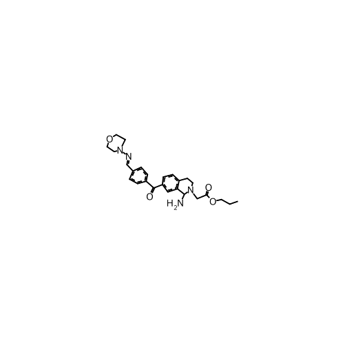 CCCOC(=O)CN1CCc2ccc(C(=O)c3ccc(C=NN4CCOCC4)cc3)cc2C1N